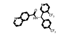 O=C(N[C@@H](c1ccc(C(F)(F)F)cc1)c1cnccc1C(F)(F)F)c1ccc2ncccc2c1